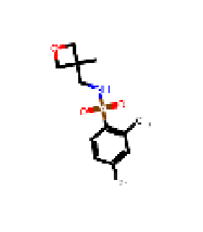 CC(C)c1ccc(S(=O)(=O)NCC2(C)COC2)c(C(F)(F)F)c1